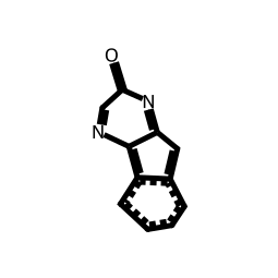 O=C1C=NC2=c3ccccc3=CC2=N1